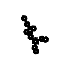 c1ccc(-c2ccc(N(c3ccccc3)c3cccc4c3oc3cc(-c5nc(-c6ccc7ccccc7c6)nc(-c6ccc7ccccc7c6)n5)ccc34)cc2)cc1